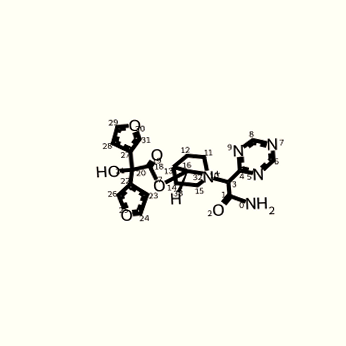 NC(=O)C(c1ncncn1)[N+]12CCC(CC1)[C@@H](OC(=O)C(O)(c1ccoc1)c1ccoc1)C2